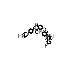 Cc1c(NS(=O)(=O)N2CC[C@@H](F)C2)ccc(F)c1Oc1ccc2ncn(-c3ccc(N4CCNCC4)cc3)c(=O)c2c1